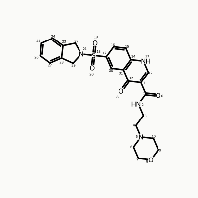 O=C(NCCN1CCOCC1)c1c[nH]c2ccc(S(=O)(=O)N3Cc4ccccc4C3)cc2c1=O